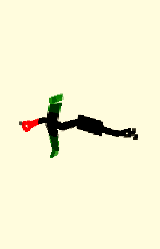 CC#CC([O])(F)F